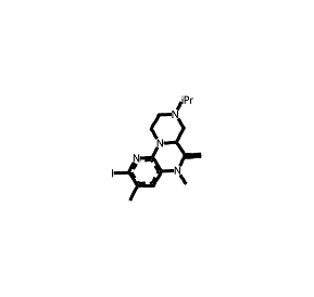 C=C1C2CN(C(C)C)CCN2c2nc(I)c(C)cc2N1C